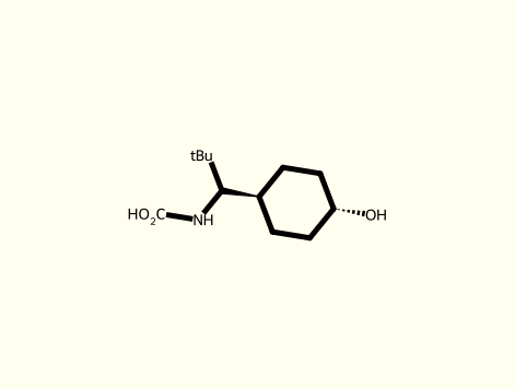 CC(C)(C)C(NC(=O)O)[C@H]1CC[C@H](O)CC1